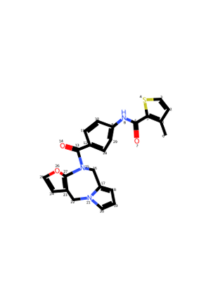 Cc1ccsc1C(=O)Nc1ccc(C(=O)N2Cc3cccn3Cc3ccoc32)cc1